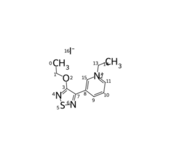 CCOc1nsnc1-c1ccc[n+](CC)c1.[I-]